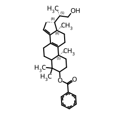 C[C@H](CO)[C@H]1CC=C2C3=C(CC[C@@]21C)[C@@]1(C)CCC(OC(=O)c2ccccc2)C(C)(C)C1CC3